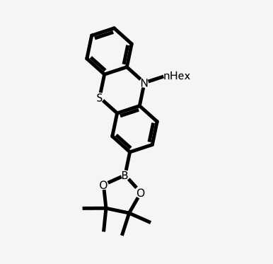 CCCCCCN1c2ccccc2Sc2cc(B3OC(C)(C)C(C)(C)O3)ccc21